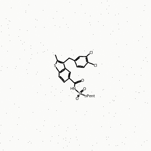 CCCCCS(=O)(=O)NC(=O)c1ccc2sc(C)c(Cc3ccc(Cl)c(Cl)c3)c2c1